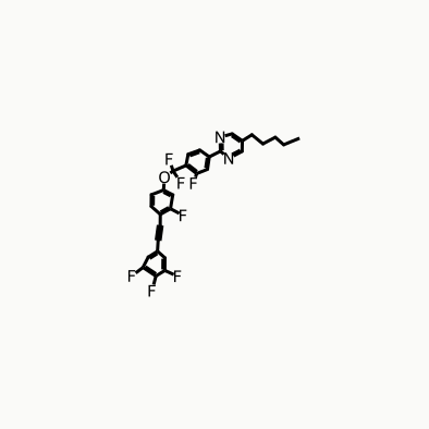 CCCCCc1cnc(-c2ccc(C(F)(F)Oc3ccc(C#Cc4cc(F)c(F)c(F)c4)c(F)c3)c(F)c2)nc1